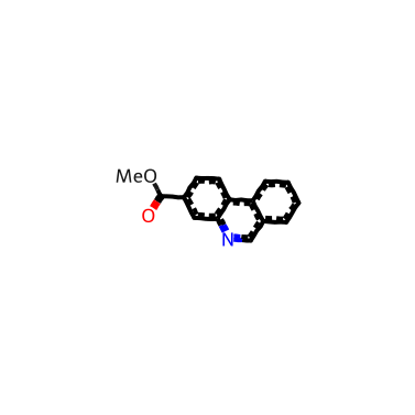 COC(=O)c1ccc2c(c1)ncc1ccccc12